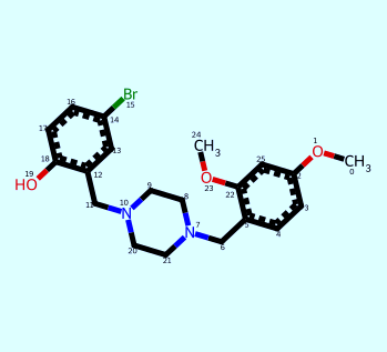 COc1ccc(CN2CCN(Cc3cc(Br)ccc3O)CC2)c(OC)c1